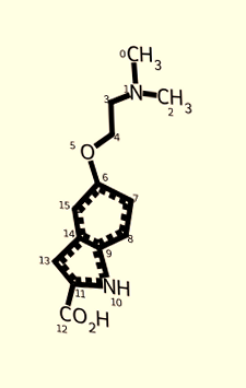 CN(C)CCOc1ccc2[nH]c(C(=O)O)cc2c1